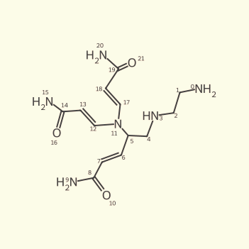 NCCNCC(C=CC(N)=O)N(C=CC(N)=O)C=CC(N)=O